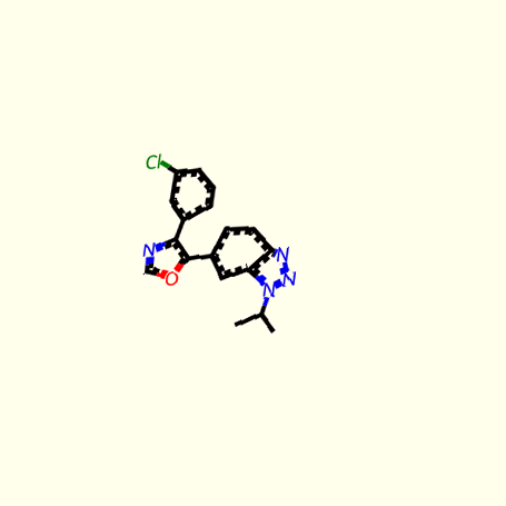 CC(C)n1nnc2ccc(-c3ocnc3-c3cccc(Cl)c3)cc21